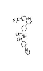 CCC(NC(=O)c1ccc(-n2cccc2)cc1)[C@H]1CC[C@H](c2ccnc3ccc(C(F)(F)F)cc32)CC1